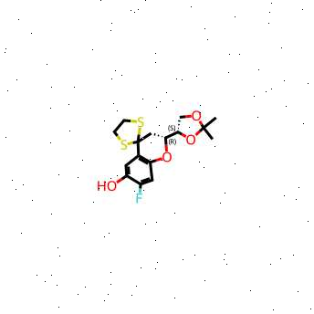 CC1(C)OC[C@@H]([C@H]2CC3(SCCS3)c3cc(O)c(F)cc3O2)O1